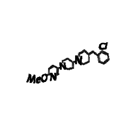 COc1ccc(N2CCC(N3CCC(Cc4ccccc4Cl)CC3)CC2)cn1